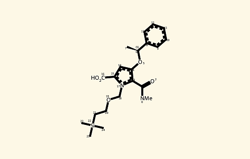 CNC(=O)c1c(O[C@@H](C)c2ccccc2)cc(C(=O)O)n1COCC[Si](C)(C)C